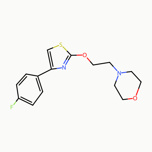 Fc1ccc(-c2csc(OCCN3CCOCC3)n2)cc1